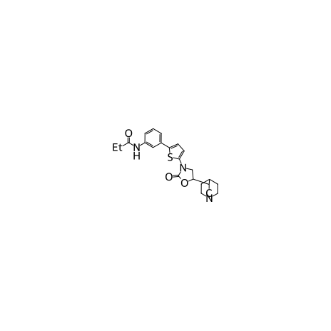 CCC(=O)Nc1cccc(-c2ccc(N3CC(C4CN5CCC4CC5)OC3=O)s2)c1